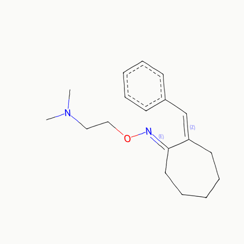 CN(C)CCO/N=C1\CCCCC\C1=C\c1ccccc1